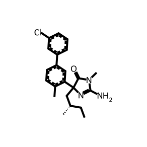 CC[C@H](C)CC1(c2cc(-c3cccc(Cl)c3)ccc2C)N=C(N)N(C)C1=O